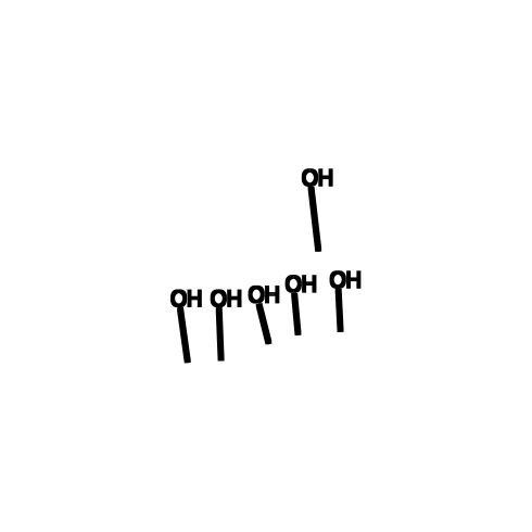 CO.CO.CO.CO.CO.CO